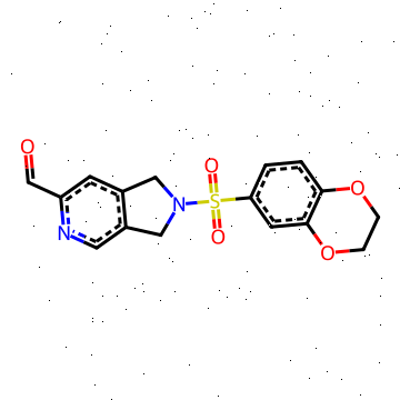 O=Cc1cc2c(cn1)CN(S(=O)(=O)c1ccc3c(c1)OCCO3)C2